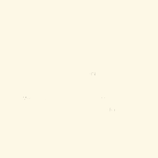 CCCCOC(=O)C(CCCC(=O)OC)NCc1ccccc1